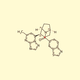 Cc1cc([C@@H]2CC[C@@H]3CC[C@H]2N3C(=O)c2ccc3ncsc3c2)n2ncnc2n1